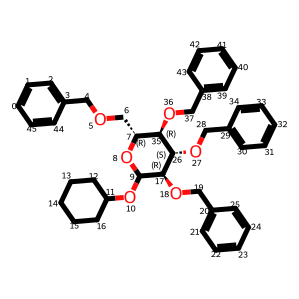 c1ccc(COC[C@H]2OC(OC3CCCCC3)[C@H](OCc3ccccc3)[C@@H](OCc3ccccc3)[C@@H]2OCc2ccccc2)cc1